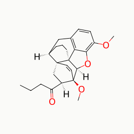 CCCC(=O)[C@H]1C[C@@]23C=C[C@]1(OC)[C@@H]1Oc4c(OC)ccc5c4[C@@]12CCC[C@@H]3C5